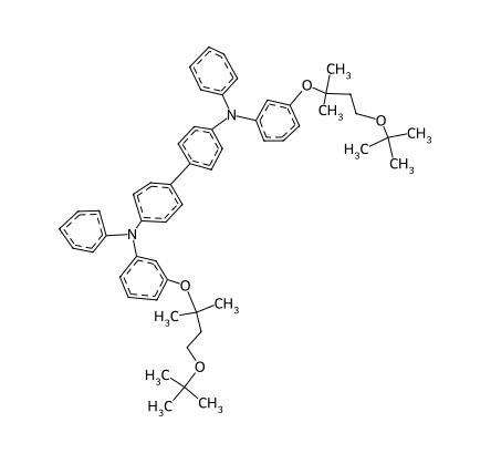 CC(C)(C)OCCC(C)(C)Oc1cccc(N(c2ccccc2)c2ccc(-c3ccc(N(c4ccccc4)c4cccc(OC(C)(C)CCOC(C)(C)C)c4)cc3)cc2)c1